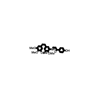 COc1cc(/C=C\c2cc(F)c(OC)c(N/C=C\C(=O)c3ccc(O)cc3)c2)cc(OC)c1OC